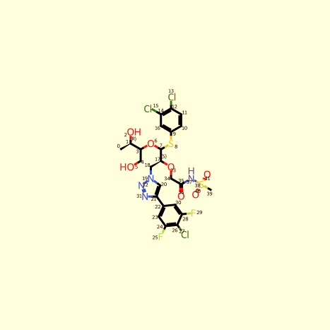 C[C@@H](O)C(CO)OC(Sc1ccc(Cl)c(Cl)c1)[C@H](Cn1cc(-c2cc(F)c(Cl)c(F)c2)nn1)OCC(=O)NS(C)(=O)=O